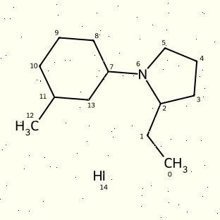 CCC1CCCN1C1CCCC(C)C1.I